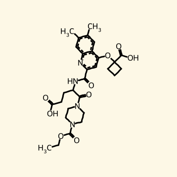 CCOC(=O)N1CCN(C(=O)C(CCC(=O)O)NC(=O)c2cc(OC3(C(=O)O)CCC3)c3cc(C)c(C)cc3n2)CC1